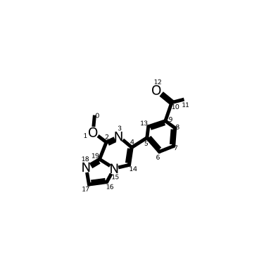 COc1nc(-c2cccc(C(C)=O)c2)cn2ccnc12